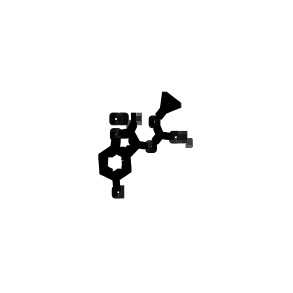 CC(Oc1c(C(=O)O)oc2ccc(Cl)cc12)OC1CC1